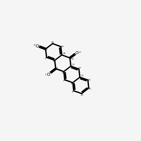 O=C1C=C2C(=O)c3cc4ccccc4cc3C(=O)C2=CC1